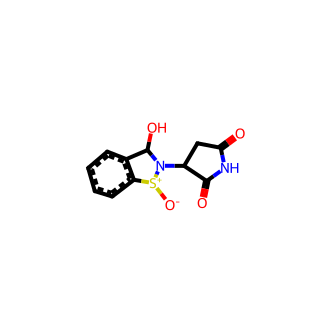 O=C1CC(N2C(O)c3ccccc3[S+]2[O-])C(=O)N1